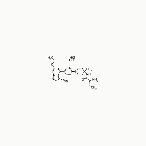 CCOc1cc(-c2ccc(N3CCC(C)(NC(=O)C(N)CC)CC3)nc2)c2c(C#N)cnn2c1.Cl.Cl